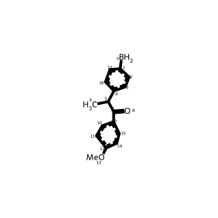 Bc1ccc(C(C)C(=O)c2ccc(OC)cc2)cc1